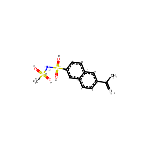 C=C(C)c1ccc2cc(S(=O)(=O)NS(=O)(=O)C(F)(F)F)ccc2c1